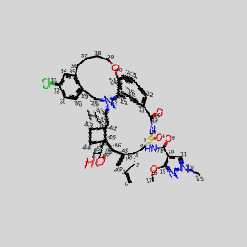 C=CC[C@H]1CS(=O)(NC(=O)c2cn(C)nc2OC)=NC(=O)c2ccc3c(c2)N(Cc2ccc(Cl)cc2CCCCO3)C[C@@H]2CC[C@H]2[C@@H](O)C1=C